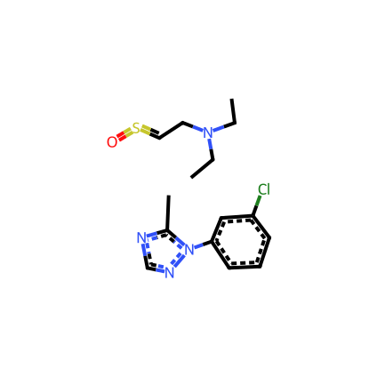 CCN(CC)CC=S=O.Cc1ncnn1-c1cccc(Cl)c1